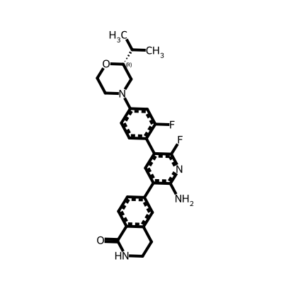 CC(C)[C@@H]1CN(c2ccc(-c3cc(-c4ccc5c(c4)CCNC5=O)c(N)nc3F)c(F)c2)CCO1